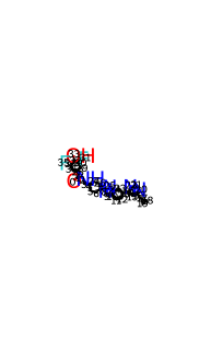 O=C(NCC1CCC(n2cc3ccc(-c4cc(C5CC5)ncn4)cc3n2)CC1)c1cc(F)c(O)c(F)c1